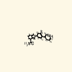 NC(=O)c1cccc2cn(-c3ccc([C@@H]4CCCNC4)c(F)c3)nc12